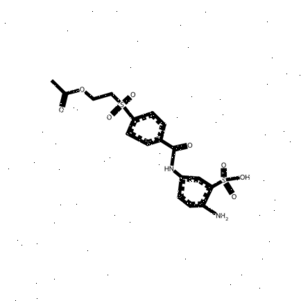 CC(=O)OCCS(=O)(=O)c1ccc(C(=O)Nc2ccc(N)c(S(=O)(=O)O)c2)cc1